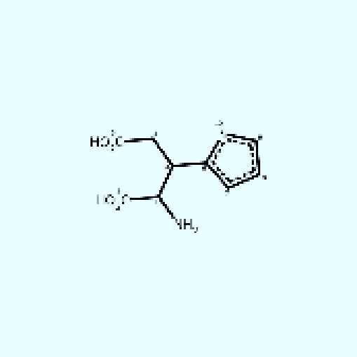 NC(C(=O)O)C(CC(=O)O)c1cccs1